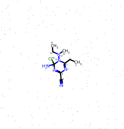 CCC1=NC(C#N)=NC(N)(Cl)N1N(C)CC